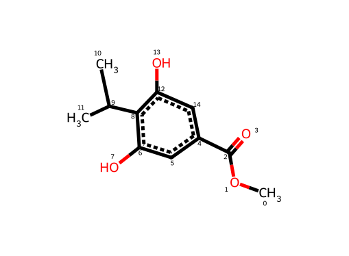 COC(=O)c1cc(O)c(C(C)C)c(O)c1